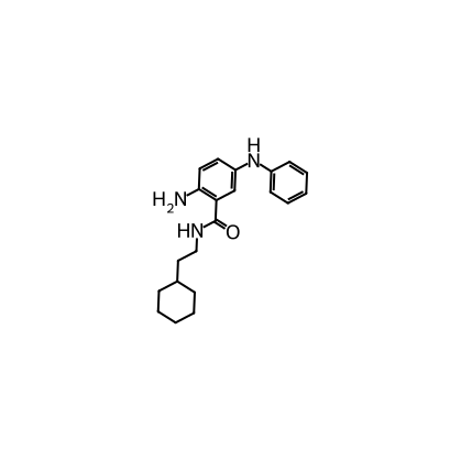 Nc1ccc(Nc2ccccc2)cc1C(=O)NCCC1CCCCC1